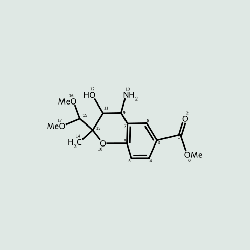 COC(=O)c1ccc2c(c1)C(N)C(O)C(C)(C(OC)OC)O2